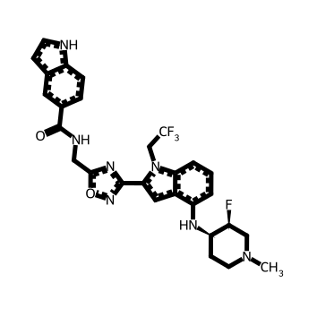 CN1CC[C@@H](Nc2cccc3c2cc(-c2noc(CNC(=O)c4ccc5[nH]ccc5c4)n2)n3CC(F)(F)F)[C@@H](F)C1